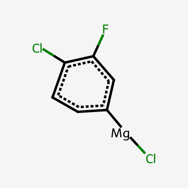 Fc1c[c]([Mg][Cl])ccc1Cl